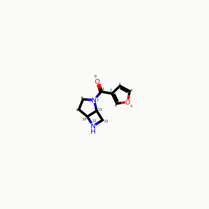 O=C(c1ccoc1)N1CCC2NCC21